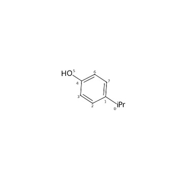 [CH]C(C)c1ccc(O)cc1